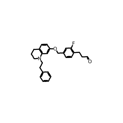 O=CCCc1ccc(COc2ccc3c(c2)N(CCc2ccccc2)CCC3)cc1F